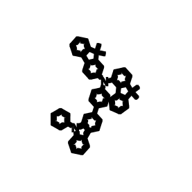 CC1(C)c2ccccc2-c2ccc(N(c3ccc(-c4ccc5c6ccccc6n(-c6ccccc6)c5c4)cc3)c3cccc4c3-c3ccccc3C4(C)C)cc21